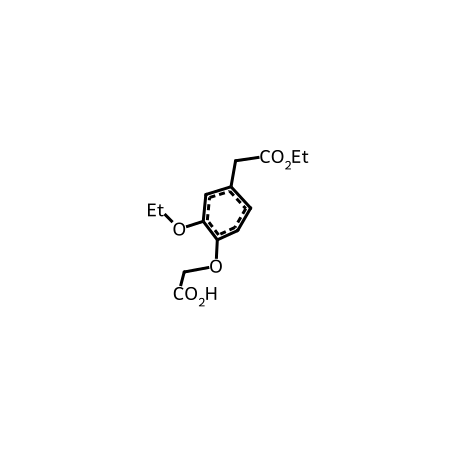 CCOC(=O)Cc1ccc(OCC(=O)O)c(OCC)c1